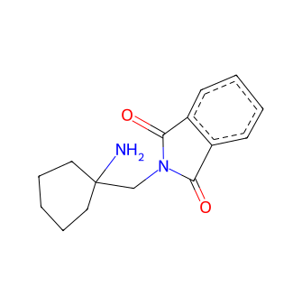 NC1(CN2C(=O)c3ccccc3C2=O)CCCCC1